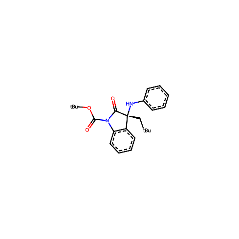 CC(C)(C)C[C@]1(Nc2ccccc2)C(=O)N(C(=O)OC(C)(C)C)c2ccccc21